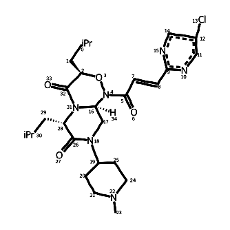 CC(C)C[C@H]1ON(C(=O)/C=C/c2ncc(Cl)cn2)[C@H]2CN(C3CCN(C)CC3)C(=O)[C@H](CC(C)C)N2C1=O